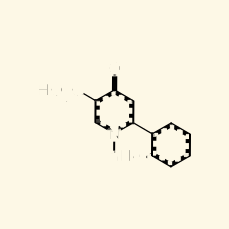 CCCCCCn1cc(C(=O)O)c(=O)cc1-c1ccccc1